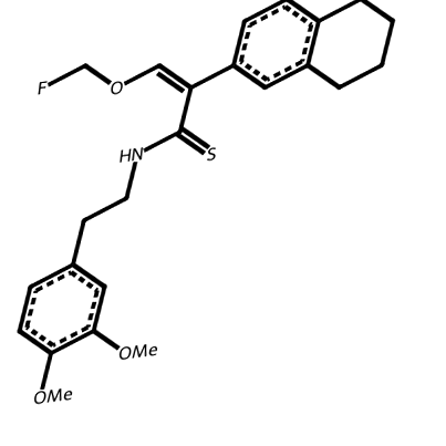 COc1ccc(CCNC(=S)/C(=C\OCF)c2ccc3c(c2)CCCC3)cc1OC